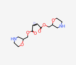 O=C(/C=C\C(=O)OCC1CNCCO1)OCC1CNCCO1